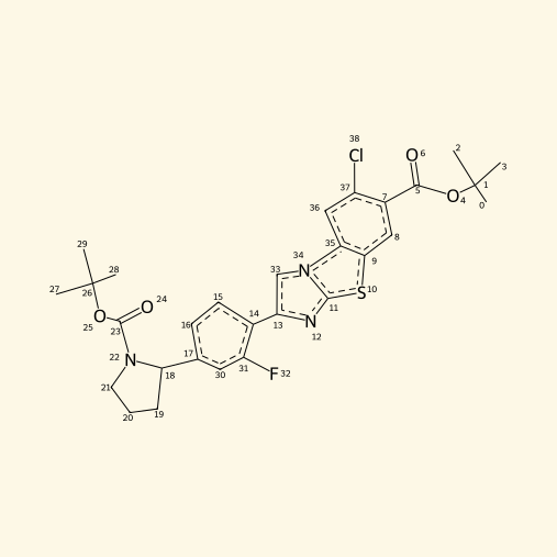 CC(C)(C)OC(=O)c1cc2sc3nc(-c4ccc(C5CCCN5C(=O)OC(C)(C)C)cc4F)cn3c2cc1Cl